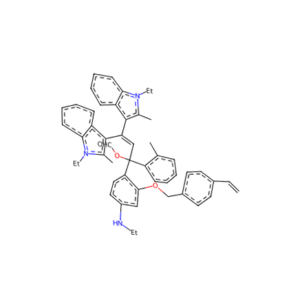 C=Cc1ccc(COc2cc(NCC)ccc2C(C=C(c2c(C)n(CC)c3ccccc23)c2c(C)n(CC)c3ccccc23)(OC=O)c2ccccc2C)cc1